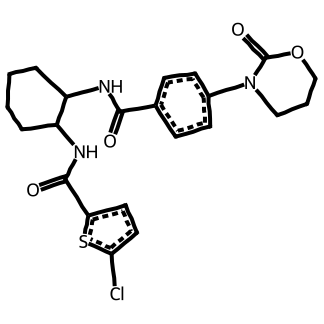 O=C(NC1CCCCC1NC(=O)c1ccc(Cl)s1)c1ccc(N2CCCOC2=O)cc1